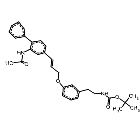 CC(C)(C)OC(=O)NCCc1cccc(OCC=Cc2ccc(-c3ccccc3)c(NC(=O)O)c2)c1